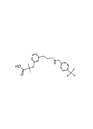 CC(C)(Oc1cccc(CCCNCc2ccc(C(F)(F)F)cc2)c1)C(=O)O